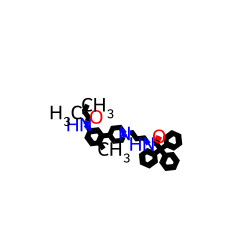 Cc1ccc(NC(=O)C(C)C)cc1C1CCN(CCCNC(=O)C(c2ccccc2)(c2ccccc2)c2ccccc2)CC1